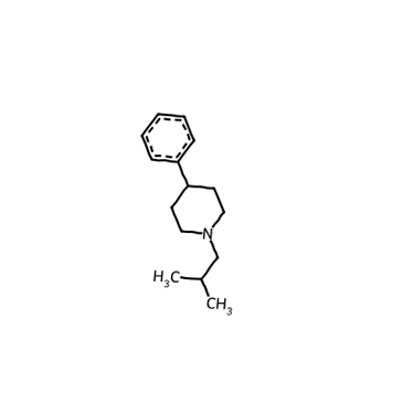 CC(C)CN1CCC(c2ccccc2)CC1